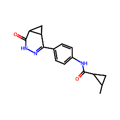 CC1CC1C(=O)Nc1ccc(C2=NNC(=O)C3CC23)cc1